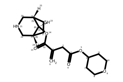 C=C(CC(=O)OC1CCOCC1)C(=O)O[C@H]1[C@@H]2CC[C@H]1CNC2